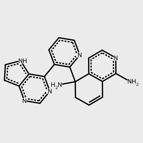 Nc1nccc2c1C=CCC2(N)c1ncccc1-c1ncnc2cc[nH]c12